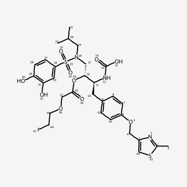 Cc1nc(COc2ccc(C[C@H](NC(=O)O)[C@@H](CN(CC(C)C)S(=O)(=O)c3ccc(O)c(O)c3)OC(=O)COCCI)cc2)cs1